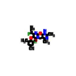 Cc1nc(C)c(Cn2cnc([C@H](C)F)c(Oc3c(C)cc(C#N)cc3Cl)c2=O)c(=O)[nH]1